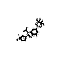 CC(C)n1c([C@H]2CCC(F)(F)C2)nc2c(F)cc(B3OC(C)(C)C(C)(C)O3)cc21